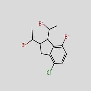 CC(Br)C1Cc2c(Cl)ccc(Br)c2C1C(C)Br